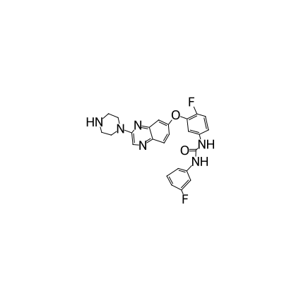 O=C(Nc1cccc(F)c1)Nc1ccc(F)c(Oc2ccc3ncc(N4CCNCC4)nc3c2)c1